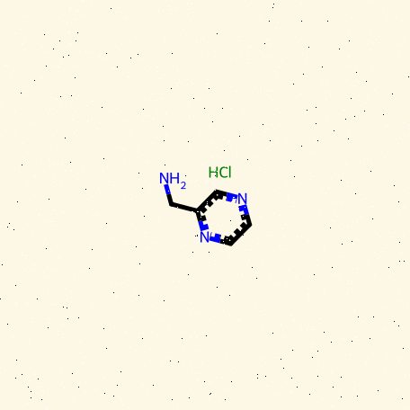 Cl.NCc1cnccn1